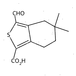 CC1(C)CCc2c(C(=O)O)sc(C=O)c2C1